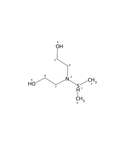 C[SH](C)N(CCO)CCO